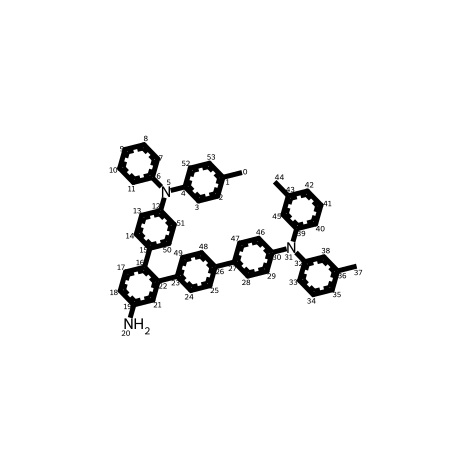 Cc1ccc(N(c2ccccc2)c2ccc(-c3ccc(N)cc3-c3ccc(-c4ccc(N(c5cccc(C)c5)c5cccc(C)c5)cc4)cc3)cc2)cc1